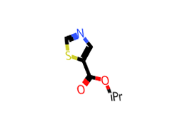 CC(C)OC(=O)c1cncs1